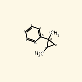 CC1CC1(C)c1ccccc1